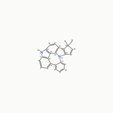 Cn1c2cccc3c4ccccc4n4c5c(c6ccc1c(c32)c64)C(C)(C)C=C5